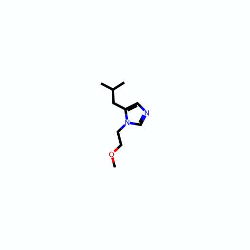 COCCn1cncc1CC(C)C